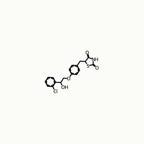 O=C1NC(=O)C(Cc2ccc(OCC(O)c3ccccc3Cl)cc2)S1